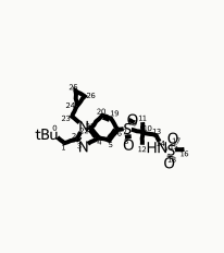 CC(C)(C)Cc1nc2cc(S(=O)(=O)C(C)(C)CNS(C)(=O)=O)ccc2n1CC1CC1